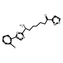 N[C@@H](CCCCCC(=O)c1ccon1)c1ncc(-c2ccccc2F)o1